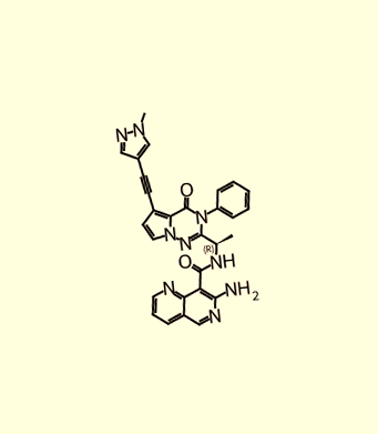 C[C@@H](NC(=O)c1c(N)ncc2cccnc12)c1nn2ccc(C#Cc3cnn(C)c3)c2c(=O)n1-c1ccccc1